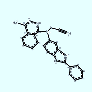 C#CCN(c1ccc2[nH]c(-c3ccccc3)nc2c1)c1nnc(C)c2ccccc12